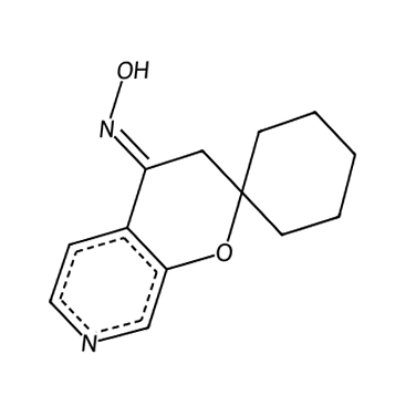 O/N=C1\CC2(CCCCC2)Oc2cnccc21